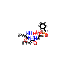 CC(C)C[C@@H](NC(=O)[C@@H](N)C(C)C)C(=O)NC[C@@H](O)CP(=O)(O)CC1CCCCC1